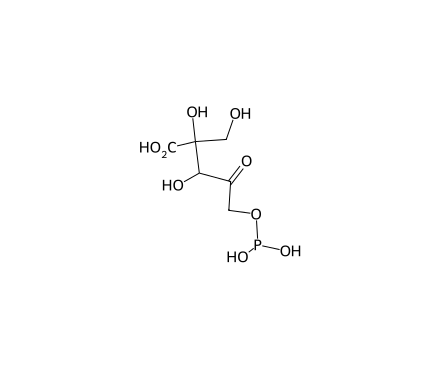 O=C(COP(O)O)C(O)C(O)(CO)C(=O)O